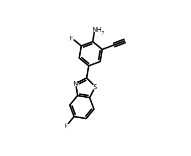 C#Cc1cc(-c2nc3cc(F)ccc3s2)cc(F)c1N